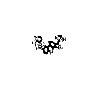 Cn1cccc(S(=O)(=O)Nc2ccc(F)c(-c3ccc4c(-c5ncc[nH]5)n[nH]c4c3F)c2F)c1=O